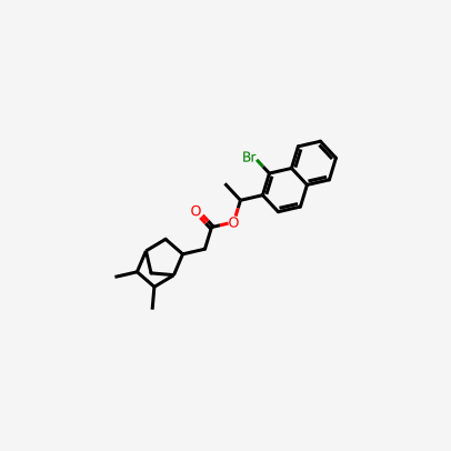 CC(OC(=O)CC1CC2CC1C(C)C2C)c1ccc2ccccc2c1Br